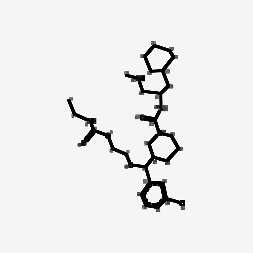 CCNC(=O)OCCOC(c1cccc(Cl)c1)C1CCCN(C(=O)NC(CNC)CC2CCCCC2)C1